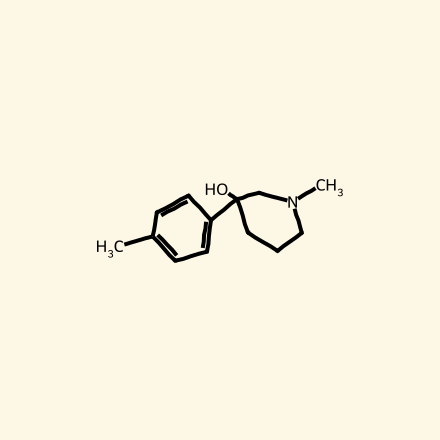 Cc1ccc(C2(O)CCCN(C)C2)cc1